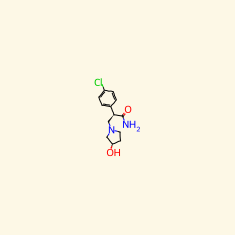 NC(=O)[C@@H](CN1CC[C@@H](O)C1)c1ccc(Cl)cc1